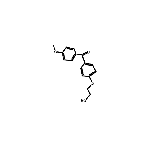 COc1ccc(C(=O)c2ccc(SCCO)cc2)cc1